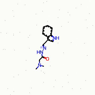 CN(C)CC(=O)N/N=C/c1c[nH]c2ccccc12